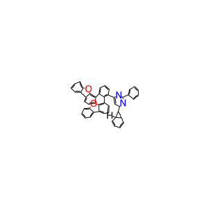 C1=CC2C(c3cc(-c4cccc(-c5cccc6c5oc5ccccc56)c4-c4cccc5c4oc4ccccc45)nc(-c4ccccc4)n3)[C@H]2C=C1